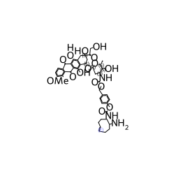 COc1cccc2c1C(=O)c1c(O)c3c(c(O)c1C2=O)C[C@@](O)(C(=O)CO)C[C@@H]3O[C@H]1C[C@H](NC(=O)OCc2ccc(OC(=O)NC3CC/C=C/CCC3N)cc2)[C@H](O)[C@H](C)O1